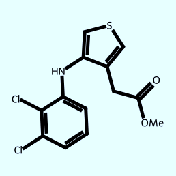 COC(=O)Cc1cscc1Nc1cccc(Cl)c1Cl